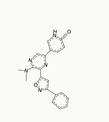 CN(C)c1ncc(-c2ccc(=O)[nH]c2)nc1-c1cc(-c2ccccc2)no1